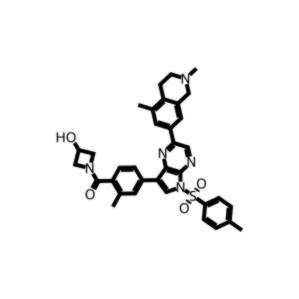 Cc1ccc(S(=O)(=O)n2cc(-c3ccc(C(=O)N4CC(O)C4)c(C)c3)c3nc(-c4cc(C)c5c(c4)CN(C)CC5)cnc32)cc1